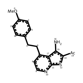 COc1ccc(CCc2ccnc3sc(C(C)=O)c(N)c23)cc1